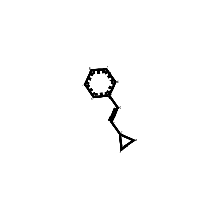 C(=CC1CC1)c1ccccc1